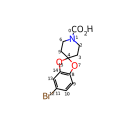 O=C(O)N1CCC2(CC1)Oc1ccc(Br)cc1O2